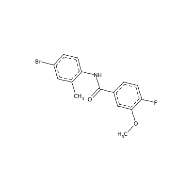 COc1cc(C(=O)Nc2ccc(Br)cc2C)ccc1F